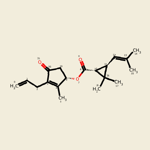 C=CCC1=C(C)[C@@H](OC(=O)[C@@H]2[C@@H](C=C(C)C)C2(C)C)CC1=O